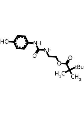 CC(C)(C)C(C)(C)C(=O)OCCNC(=O)Nc1ccc(O)cc1